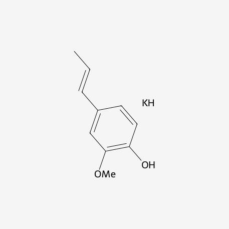 CC=Cc1ccc(O)c(OC)c1.[KH]